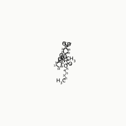 CCCCCCOC(=O)[C@H](C)NP(=O)(Oc1ccccc1)Oc1ccc([N+](=O)[O-])cc1